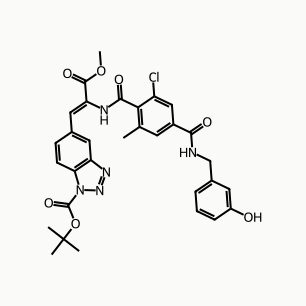 COC(=O)C(=Cc1ccc2c(c1)nnn2C(=O)OC(C)(C)C)NC(=O)c1c(C)cc(C(=O)NCc2cccc(O)c2)cc1Cl